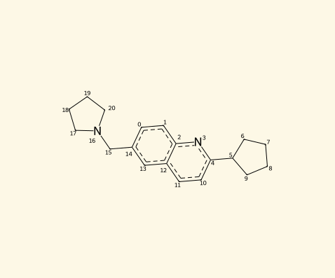 c1cc2nc(C3CCCC3)ccc2cc1CN1CCCC1